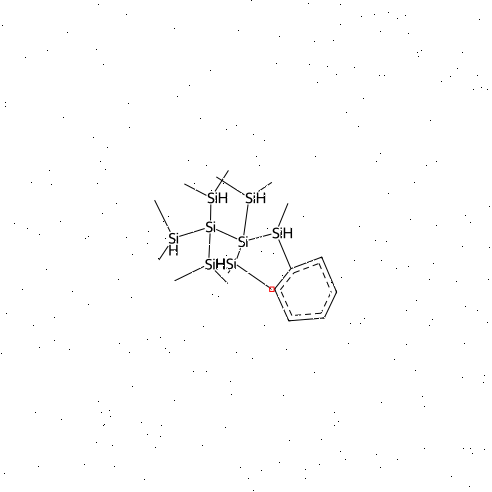 C[SiH](C)[Si]([SiH](C)C)([SiH](C)C)[Si]([SiH](C)C)([SiH](C)C)[SiH](C)c1ccccc1